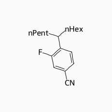 CCCCCCC(CCCCC)c1ccc(C#N)cc1F